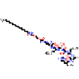 CN[C@@H](Cc1c[nH]cn1)C(=O)N[C@@H](CCC(=O)O)C(=O)N[C@@H](CCC(=O)O)C(=O)N[C@@H](CO)C(=O)N[C@@H](CO)C(=O)N[C@@H](CCC(=O)O)C(=O)N[C@@H](CCCCNC(=O)COCCOCCNC(=O)CCCCCCCCCCCCCCCC(=O)O)C(N)=O